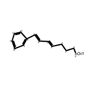 CCCCCCCCCCCC=CC=Cc1c[c]ccc1